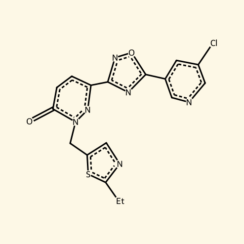 CCc1ncc(Cn2nc(-c3noc(-c4cncc(Cl)c4)n3)ccc2=O)s1